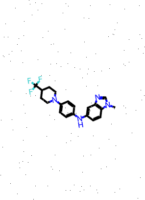 Cn1cnc2cc(Nc3ccc(N4CCC(C(F)(F)F)CC4)cc3)ccc21